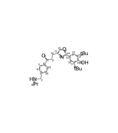 CC(C)NCc1ccc(C(=O)CCc2coc(-c3cc(C(C)(C)C)c(O)c(C(C)(C)C)c3)n2)cc1